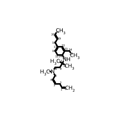 C=CC/C=C\CN(C)CCC(C)(C)NC1CC=C(C/C=C/C)C=C1CC